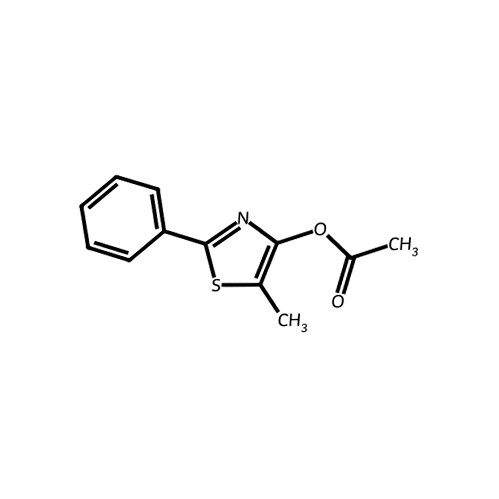 CC(=O)Oc1nc(-c2ccccc2)sc1C